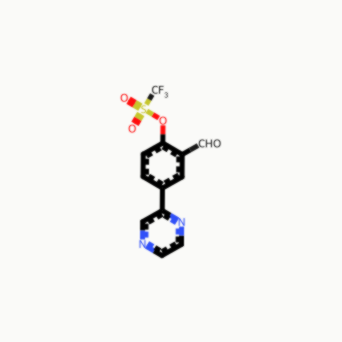 O=Cc1cc(-c2cnccn2)ccc1OS(=O)(=O)C(F)(F)F